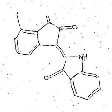 O=C1Nc2c(I)cccc2/C1=C1/Nc2ccccc2C1=O